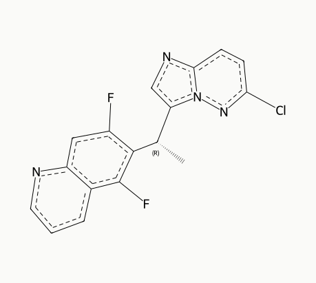 C[C@H](c1c(F)cc2ncccc2c1F)c1cnc2ccc(Cl)nn12